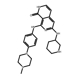 CN1CCN(c2ccc(Nc3nc(NC4CCCNC4)cc4cc[nH]c(=O)c34)cc2)CC1